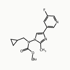 Cc1nc(-c2cncc(F)c2)cn1N(CC1CC1)C(=O)OC(C)(C)C